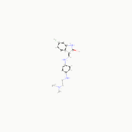 CC(C)N(CCNc1ccc(N/C=C2/C(=O)Nc3cc(F)ccc32)cc1)C(C)C